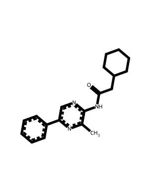 Cc1nc(-c2ccccc2)cnc1NC(=O)CC1CCCCC1